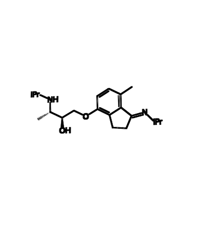 Cc1ccc(OC[C@@H](O)[C@H](C)NC(C)C)c2c1/C(=N/C(C)C)CC2